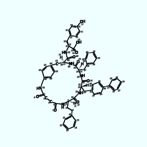 O=C1CCC(=O)N[C@H](CCc2ccccc2)C(=O)N[C@@H](Cc2ccc(-c3ccccc3)cc2)C(=O)N[C@H](Cc2ccccc2)C(=O)N[C@H](C(=O)N[C@@H](Cc2ccc(O)cc2)C(=O)O)Cc2ccc(cc2)N1